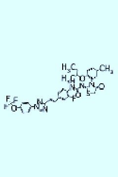 CCC(C)Oc1ccc(C)cc1N1C(=O)CS/C1=N\C(=O)Nc1ccc(/C=C/c2ncn(-c3ccc(OC(F)(F)F)cc3)n2)cc1F